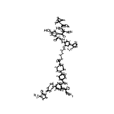 Cc1ncsc1-c1ccc(CNC(=O)[C@@H]2C[C@@H](O)CN2C(=O)[C@@H](NC(=O)C2(F)CC2)C(C)(C)C)c(OCCCCCC(=O)N2CCC(c3ccc(Nc4nc(N5CCC[C@@H](N6CCN(C)C6=O)C5)cnc4C(N)=O)cc3)CC2)c1